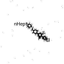 CCCCCCC[C@H]1CC[C@H](CCC2CCC(c3cc(F)c(-c4ccc(Cl)cc4)c(F)c3)CC2)CC1